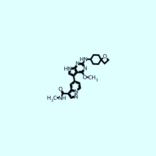 CNC(=O)c1cnn2ccc(-c3c[nH]c4nc(NC5CCC6(CCO6)CC5)nc(OC)c34)cc12